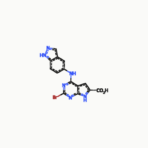 O=C(O)c1cc2c(Nc3ccc4[nH]ncc4c3)nc(Br)nc2[nH]1